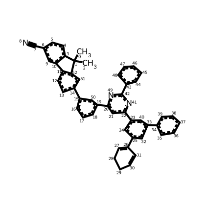 CC1(C)c2ccc(C#N)cc2-c2ccc(-c3cccc(-c4cc(-c5cc(C6=CCCC=C6)cc(-c6ccccc6)c5)nc(-c5ccccc5)n4)c3)cc21